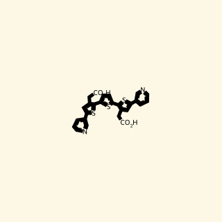 O=C(O)Cc1cc(-c2cccnc2)sc1-c1ccc(-c2sc(-c3cccnc3)cc2CC(=O)O)s1